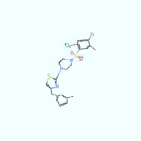 Cc1cccc(Cc2csc(N3CCN(S(=O)(=O)c4cc(C)c(Cl)cc4Cl)CC3)n2)c1